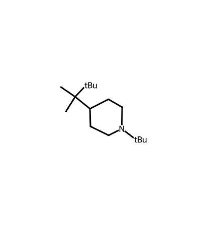 CC(C)(C)N1CCC(C(C)(C)C(C)(C)C)CC1